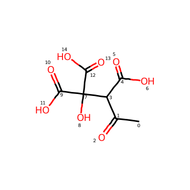 CC(=O)C(C(=O)O)C(O)(C(=O)O)C(=O)O